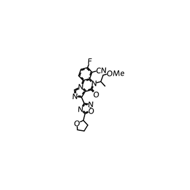 COCC(C)n1c(=O)c2c(-c3noc(C4CCCO4)n3)ncn2c2ccc(F)c(C#N)c21